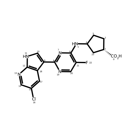 O=C(O)[C@H]1CCC(Nc2nc(-c3c[nH]c4ncc(Cl)cc34)ncc2F)C1